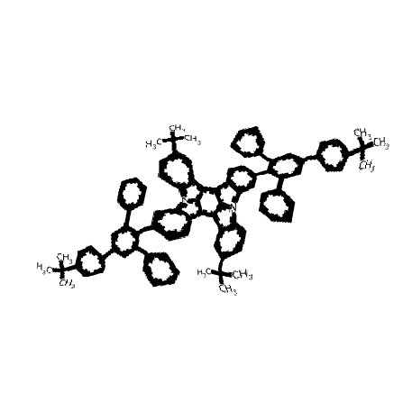 CC(C)(C)c1ccc(-c2cc(-c3ccccc3)c(-c3ccc4c5c6c7cc(C(C)(C)C)ccc7n7c8cc(-c9c(-c%10ccccc%10)cc(-c%10ccc(C(C)(C)C)cc%10)cc9-c9ccccc9)ccc8c(c8c9cc(C(C)(C)C)ccc9n(c4c3)c85)c67)c(-c3ccccc3)c2)cc1